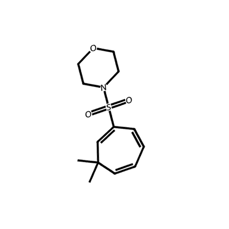 CC1(C)C=CC=CC(S(=O)(=O)N2CCOCC2)=C1